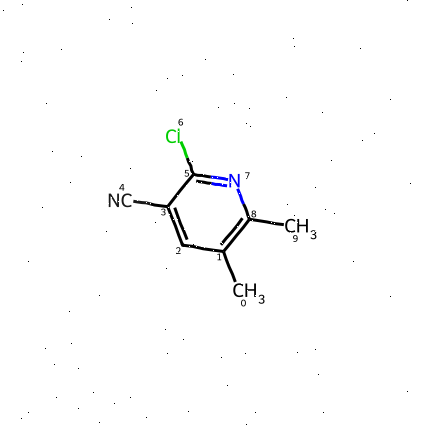 Cc1cc(C#N)c(Cl)nc1C